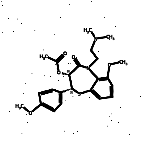 COc1ccc([C@H]2Sc3cccc(OC)c3N(CCN(C)C)C(=O)[C@H]2OC(C)=O)cc1